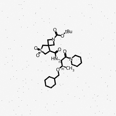 C[C@@H](OCC1CCCCC1)[C@H](NC(=O)C1CS(=O)(=O)CC12CN(C(=O)OC(C)(C)C)C2)C(=O)N1CCCCC1